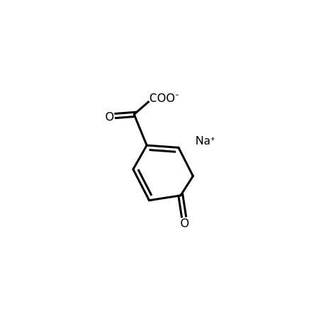 O=C1C=CC(C(=O)C(=O)[O-])=CC1.[Na+]